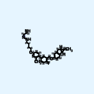 Cc1nc(OCCCCN/N=C\C=N)ccc1-c1ccc(F)c(COc2ccc3c(c2)C[C@H]2[C@H](C)[C@@H]32)c1